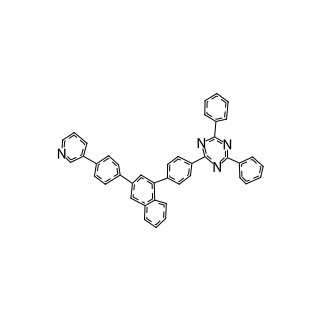 c1ccc(-c2nc(-c3ccccc3)nc(-c3ccc(-c4cc(-c5ccc(-c6cccnc6)cc5)cc5ccccc45)cc3)n2)cc1